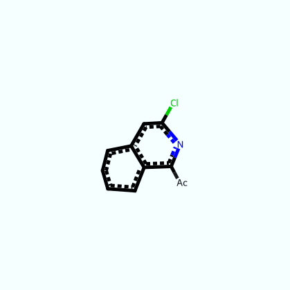 CC(=O)c1nc(Cl)cc2ccccc12